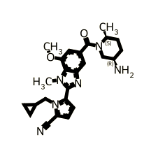 COc1cc(C(=O)N2C[C@H](N)CC[C@@H]2C)cc2nc(-c3ccc(C#N)n3CC3CC3)n(C)c12